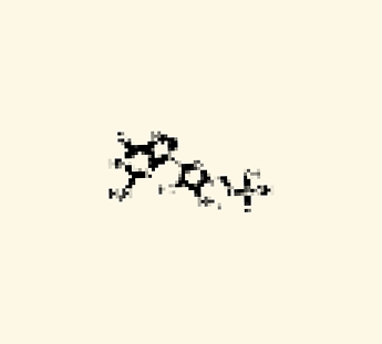 Nc1nc2c(ncn2[C@@H]2O[C@H](COP(=O)(O)O)C(N)C2O)c(=O)[nH]1